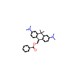 CN(C)c1ccc2c(c1)C(C)(C)c1cc(N(C)C)ccc1C2=COC(=O)c1ccccc1